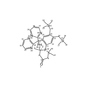 CC1(C)CC(=O)CC(C)(C)P1c1cc(C[Si](C)(C)C)c(C[Si](C)(C)C)cc1C(P)(c1ncccn1)c1ncccn1